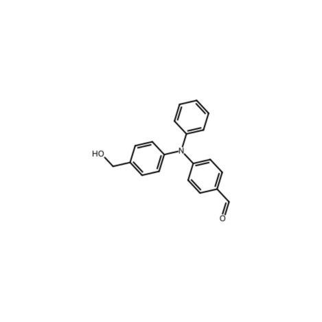 O=Cc1ccc(N(c2ccccc2)c2ccc(CO)cc2)cc1